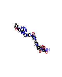 Nc1ncnc2c1c(-c1ccc(Oc3ccccc3)cc1)nn2C1CCCN(C2CCN(C(=O)N3CCN(CCC4CCN(c5ccc6c(c5)C(=O)N(C5CCC(=O)NC5=O)C6=O)CC4)CC3)CC2)C1